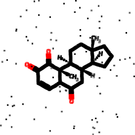 C[C@@]12CCC[C@H]1[C@@H]1CC(=O)C3C=CC(=O)C(=O)[C@]3(C)[C@H]1CC2